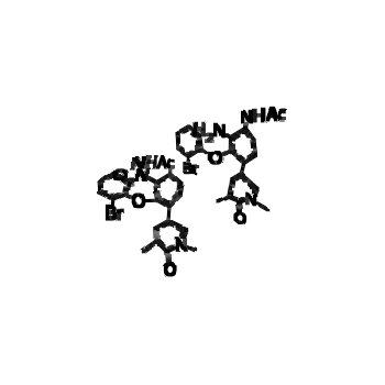 CC(=O)Nc1ccc(-c2cc(C)c(=O)n(C)c2)c(Oc2ccccc2Br)c1N.CC(=O)Nc1ccc(-c2cc(C)c(=O)n(C)c2)c(Oc2ccccc2Br)c1[N+](=O)[O-]